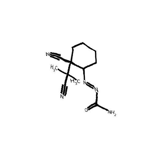 CC(C)(C#N)C1(C#N)CCCCC1N=NC(N)=O